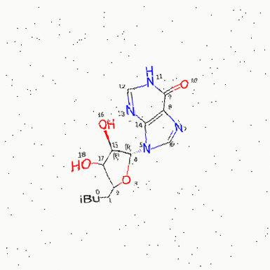 CCC(C)CC1O[C@@H](n2cnc3c(=O)[nH]cnc32)[C@H](O)C1O